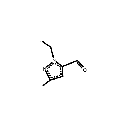 [CH2]Cn1nc(C)cc1C=O